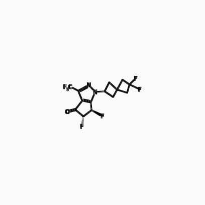 O=C1c2c(C(F)(F)F)nn(C3CC4(C3)CC(F)(F)C4)c2[C@@H](F)[C@@H]1F